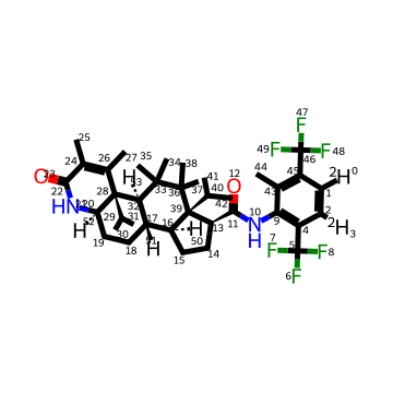 [2H]c1c([2H])c(C(F)(F)F)c(NC(=O)[C@H]2CC[C@H]3[C@@H]4CC[C@H]5NC(=O)C(C)=C(C)[C@]5(C(C)C)[C@H]4C(C)(C)C(C)(C)[C@]23C(C)C)c(C)c1C(F)(F)F